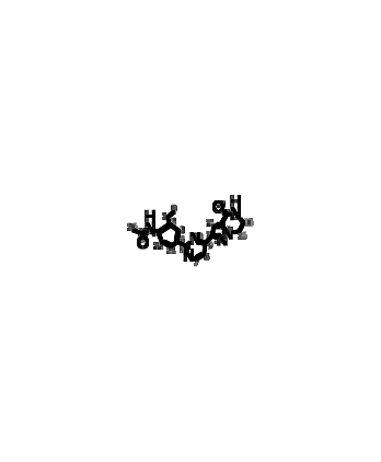 CCc1cc(-c2nccc(-c3cc4n(n3)CCNC4=O)n2)ccc1NC(C)=O